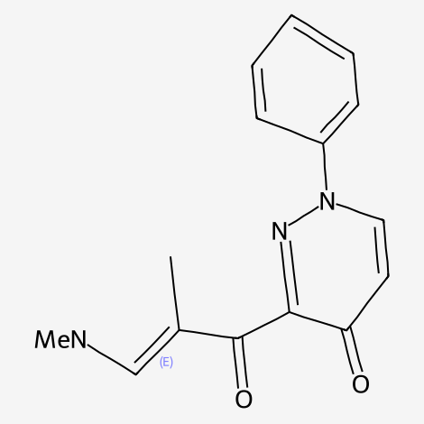 CN/C=C(\C)C(=O)c1nn(-c2ccccc2)ccc1=O